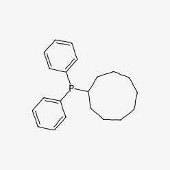 c1ccc(P(c2ccccc2)C2CCCCCCCC2)cc1